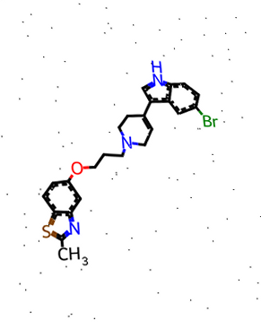 Cc1nc2cc(OCCCN3CC=C(c4c[nH]c5ccc(Br)cc45)CC3)ccc2s1